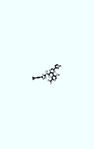 COc1cnc(C(F)F)cc1-c1nc(-c2ccn(C)n2)cnc1C(=O)Nc1nnc(C#CC2CC2)s1